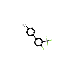 Cc1ccc(-c2ccc(F)c(C(F)(F)F)c2)cc1